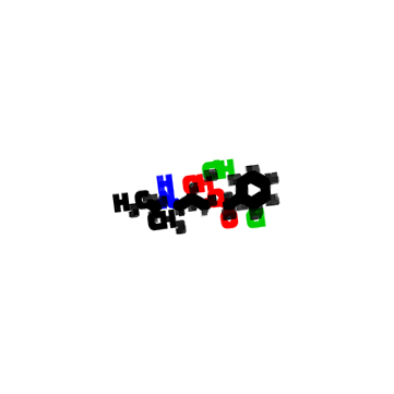 CC(C)NCC(O)COC(=O)c1ccccc1Cl.Cl